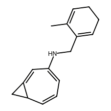 CC1=CCCC=C1CNC1=CC=CC2CC2=C1